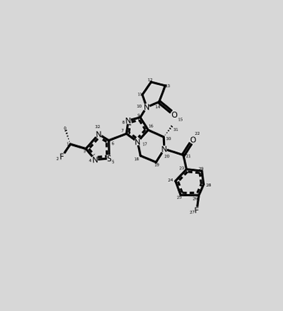 C[C@@H](F)c1nsc(-c2nc(N3CCCC3=O)c3n2CCN(C(=O)c2ccc(F)cc2)[C@H]3C)n1